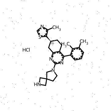 Cc1cccc(-c2nc(N3CCC4(CNC4)C3)nc3c2CC[C@H](c2scnc2C)C3)c1C.Cl